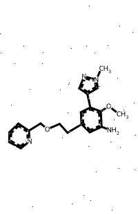 COc1c(N)cc(CCOCc2ccccn2)cc1-c1cnn(C)c1